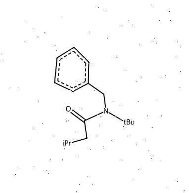 CC(C)CC(=O)N(Cc1ccccc1)C(C)(C)C